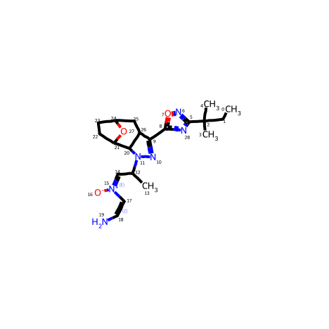 CCC(C)(C)c1noc(C2=NN(C(C)/C=[N+]([O-])\C=C/N)C3C4CCC(CC23)O4)n1